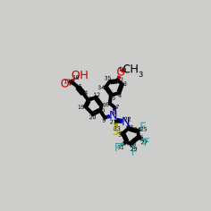 COc1ccc(CCN(Cc2ccc(C#CC(=O)O)cc2)c2nc3c(F)c(F)c(F)c(F)c3s2)cc1